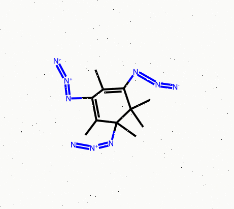 CC1=C(N=[N+]=[N-])C(C)(C)C(C)(N=[N+]=[N-])C(C)=C1N=[N+]=[N-]